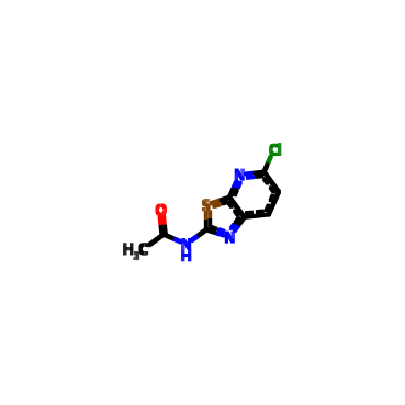 CC(=O)Nc1nc2ccc(Cl)nc2s1